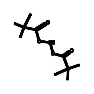 CC(C)(C)C(=O)OBOC(=O)C(C)(C)C